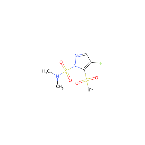 CC(C)S(=O)(=O)c1c(F)cnn1S(=O)(=O)N(C)C